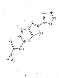 O=C(Nc1cc2[nH]c(-c3cnco3)cc2cn1)C1CC1